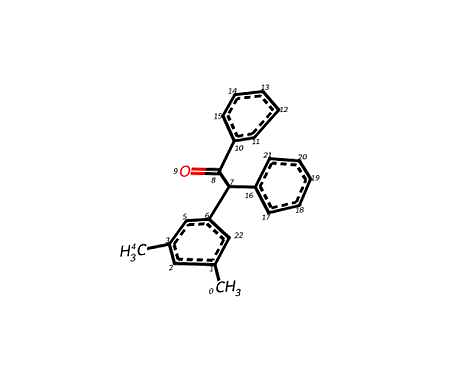 Cc1cc(C)cc(C(C(=O)c2ccccc2)c2ccccc2)c1